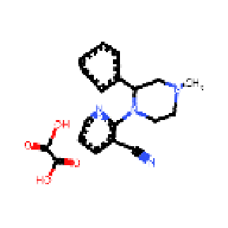 CN1CCN(c2ncccc2C#N)C(c2ccccc2)C1.O=C(O)C(=O)O